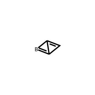 B1=C2C=C12